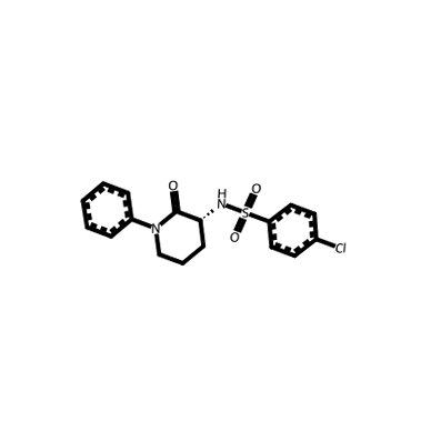 O=C1[C@H](NS(=O)(=O)c2ccc(Cl)cc2)CCCN1c1ccccc1